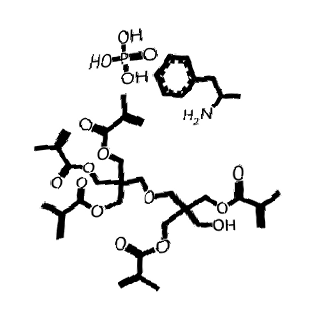 C=C(C)C(=O)OCC(CO)(COCC(COC(=O)C(=C)C)(COC(=O)C(=C)C)COC(=O)C(=C)C)COC(=O)C(=C)C.CC(N)Cc1ccccc1.O=P(O)(O)O